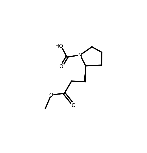 COC(=O)CC[C@@H]1CCCN1C(=O)O